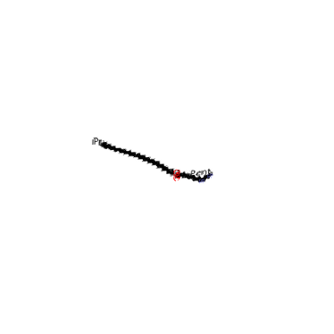 CCCCC/C=C\C/C=C\CCCCCCCC(=O)OCCCCCCCCCCCCCCCCCCCCCCCCCCCCCCCC(C)C